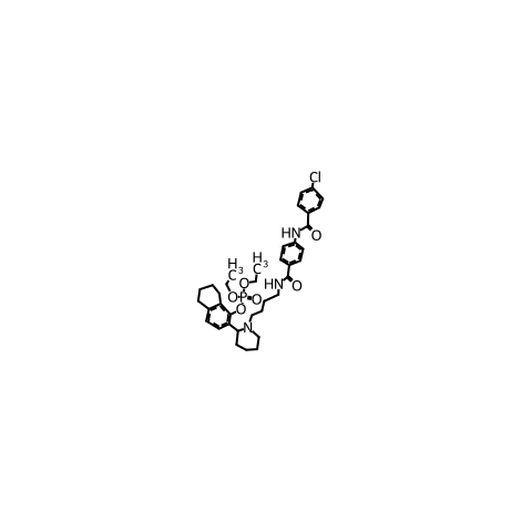 CCOP(=O)(OCC)Oc1c(C2CCCCN2CCCCNC(=O)c2ccc(NC(=O)c3ccc(Cl)cc3)cc2)ccc2c1CCCC2